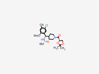 COc1cc(C#N)c(Cl)cc1[C@H](N[S@@+]([O-])C(C)(C)C)C1CCN(C(=O)[C@H]2COC(C)(C)O2)CC1